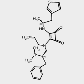 C=CCN(C[C@@H](Cc1ccccc1)N(C)C)c1c(N[C@@H](C)Cc2ccsc2)c(=O)c1=O